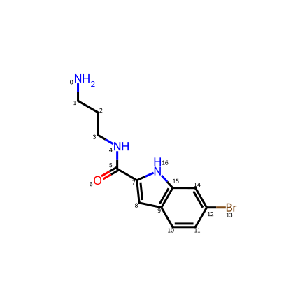 NCCCNC(=O)c1cc2ccc(Br)cc2[nH]1